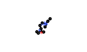 CC1(c2ccccc2)N=C(c2ccc(-c3ccccc3)cc2)N=C(c2cccc(-c3cccc(-c4ccc5c(c4)nc(-c4cccc6ccccc46)c4oc6ccccc6c45)c3)c2)N1